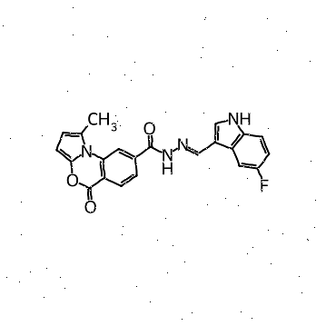 Cc1ccc2oc(=O)c3ccc(C(=O)N/N=C/c4c[nH]c5ccc(F)cc45)cc3n12